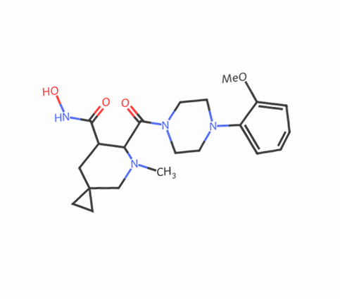 COc1ccccc1N1CCN(C(=O)C2C(C(=O)NO)CC3(CC3)CN2C)CC1